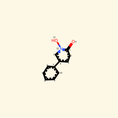 O=c1ccc(-c2ccccc2)cn1O